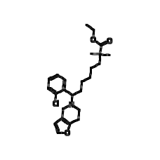 CCOC(=O)C(C)(C)CCCCCC(c1ccccc1Cl)N1CCc2occc2C1